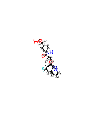 CC(C)(O)[C@H]1CC[C@H](NC(=O)[C@H]2C[C@H](Oc3cc(F)cc4cccnc34)C2)CC1